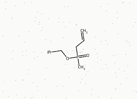 C=CCP(C)(=O)OCC(C)C